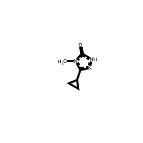 Cn1c(C2CC2)n[nH]c1=O